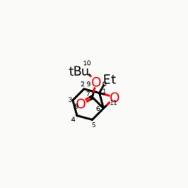 CCC12CCCCC1(C(=O)OC(C)(C)C)O2